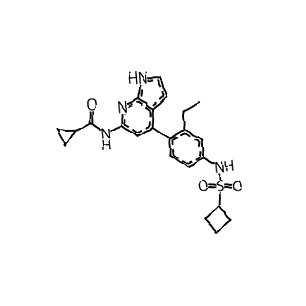 CCc1cc(NS(=O)(=O)C2CCC2)ccc1-c1cc(NC(=O)C2CC2)nc2[nH]ccc12